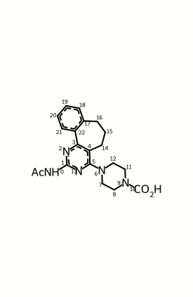 CC(=O)Nc1nc2c(c(N3CCN(C(=O)O)CC3)n1)CCCc1ccccc1-2